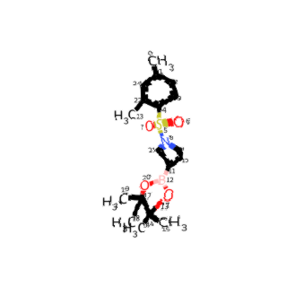 Cc1ccc(S(=O)(=O)n2ccc(B3OC(C)(C)C(C)(C)O3)c2)c(C)c1